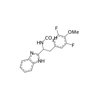 COc1c(F)cc(CC(NC(=O)O)c2nc3ccccc3[nH]2)cc1F